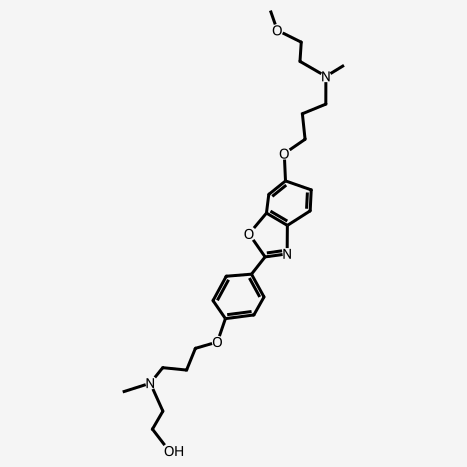 COCCN(C)CCCOc1ccc2nc(-c3ccc(OCCCN(C)CCO)cc3)oc2c1